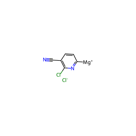 N#Cc1cc[c]([Mg+])nc1Cl.[Cl-]